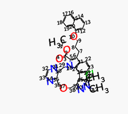 CCOC(=O)c1c(CCCOc2cccc3ccccc23)c2ccc(Cl)c3c2n1Cc1nccnc1COCc1nn(C)c(C)c1-3